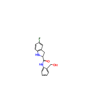 O=C(Nc1ccccc1CO)C1Cc2cc(F)ccc2N1